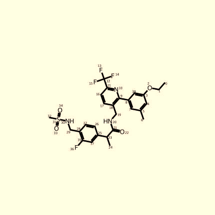 CCOc1cc(C)cc(-c2nc(C(F)(F)F)ccc2CNC(=O)C(C)c2ccc(CNS(C)(=O)=O)c(F)c2)c1